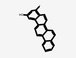 Oc1cc(I)c2ccc3c(ccc4c5ccccc5ccc43)c2c1